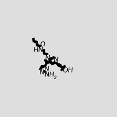 CCCCC(=O)NCCCn1cc(-c2ccnc(N)n2)c2cc(C#CC(C)(C)O)ncc21